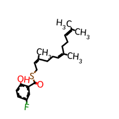 CC(C)=CCCC(C)=CCCC(C)=CCSC(=O)c1cc(F)ccc1O